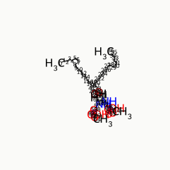 CCCCC/C=C\C/C=C\CCCCCCCCC1(CCCCCCCC/C=C\C/C=C\CCCCC)CCC2(CC1)O[C@H]1C[C@H](NCCOP(=O)(O)OC)[C@H](NCCOP(=O)(O)OC)C[C@@H]1O2